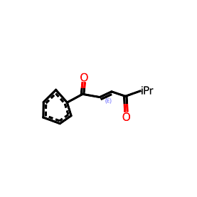 CC(C)C(=O)/C=C/C(=O)c1ccccc1